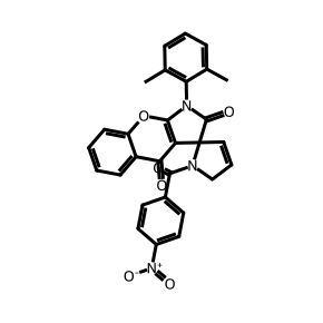 Cc1cccc(C)c1N1C(=O)C2(C=CCN2C(=O)c2ccc([N+](=O)[O-])cc2)c2c1oc1ccccc1c2=O